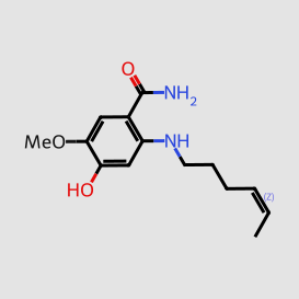 C/C=C\CCCNc1cc(O)c(OC)cc1C(N)=O